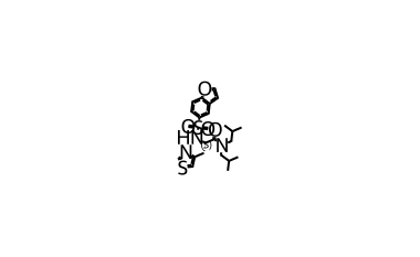 CC(C)CN(CC(C)C)C(=O)[C@H](Cc1cscn1)NS(=O)(=O)c1ccc2occc2c1